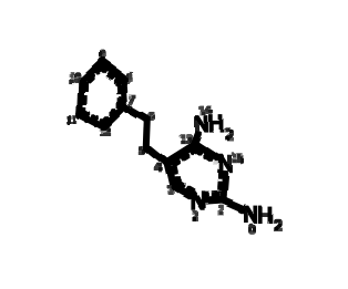 Nc1ncc(CCc2ccccc2)c(N)n1